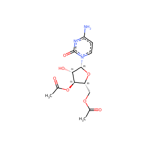 CC(=O)OC[C@H]1O[C@@H](n2ccc(N)nc2=O)[C@@H](O)[C@@H]1OC(C)=O